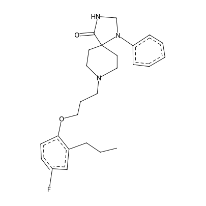 CCCc1cc(F)ccc1OCCCN1CCC2(CC1)C(=O)NCN2c1ccccc1